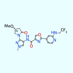 CO[C@H]1CC(=O)N(c2nn(C)cc2NC(=O)c2coc(-c3ccnc(NCC(F)(F)F)c3)n2)C1